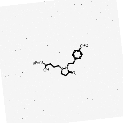 CCCCC[C@H](O)CCCN1CCC(=O)N1CCc1ccc(C=O)cc1